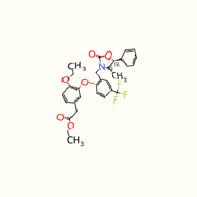 CCOC(=O)Cc1ccc(OCC)c(Oc2ccc(C(F)(F)F)cc2CN2C(=O)O[C@@H](c3ccccc3)[C@H]2C)c1